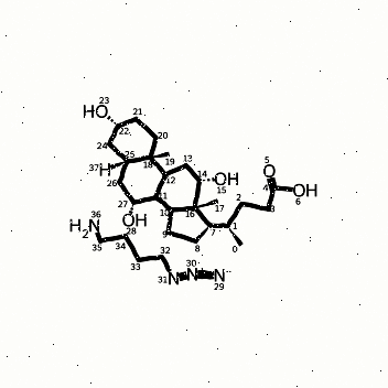 C[C@H](CCC(=O)O)[C@H]1CCC2C3C(C[C@H](O)[C@@]21C)[C@@]1(C)CC[C@@H](O)C[C@H]1C[C@H]3O.[N-]=[N+]=NCCCCN